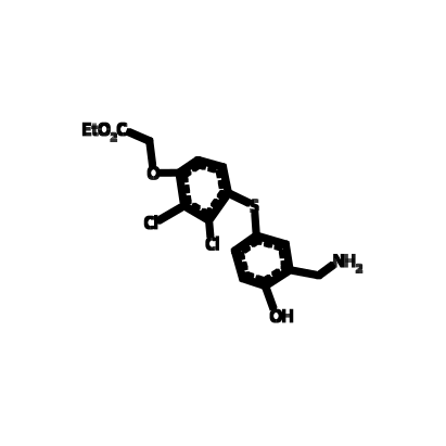 CCOC(=O)COc1ccc(Sc2ccc(O)c(CN)c2)c(Cl)c1Cl